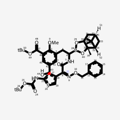 COc1c(CC(NC(=O)/C(=N\OCc2ccccc2)c2csc(NC(=O)OC(C)(C)C)n2)B2OC3C[C@H]4C[C@@H](C4(C)C)[C@]3(C)O2)cc(CO)cc1C(=O)OC(C)(C)C